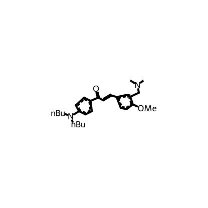 CCCCN(CCCC)c1ccc(C(=O)C=Cc2ccc(OC)c(CN(C)C)c2)cc1